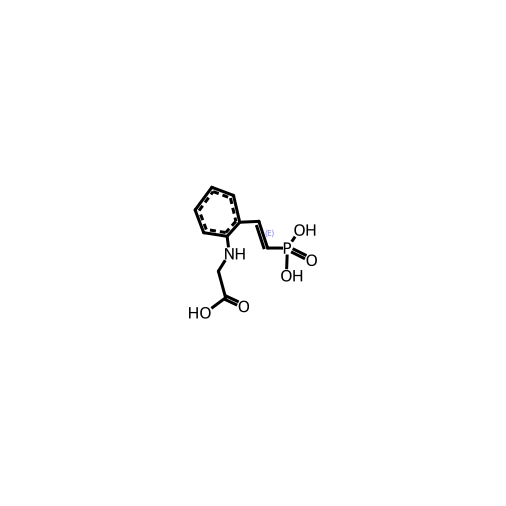 O=C(O)CNc1ccccc1/C=C/P(=O)(O)O